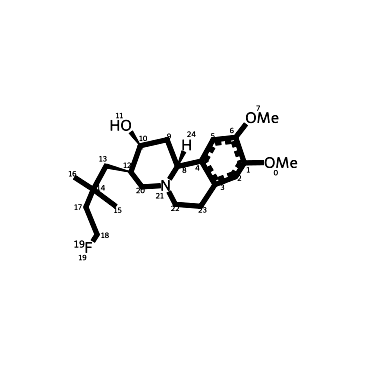 COc1cc2c(cc1OC)[C@H]1C[C@H](O)[C@H](CC(C)(C)CC[19F])CN1CC2